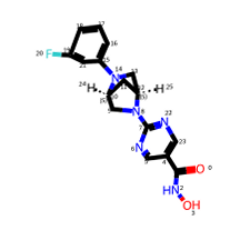 O=C(NO)c1cnc(N2C[C@@H]3C[C@H]2CN3c2cccc(F)c2)nc1